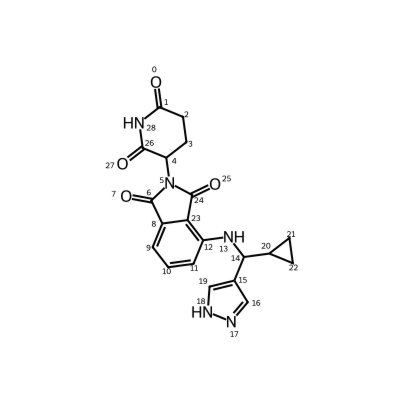 O=C1CCC(N2C(=O)c3cccc(NC(c4cn[nH]c4)C4CC4)c3C2=O)C(=O)N1